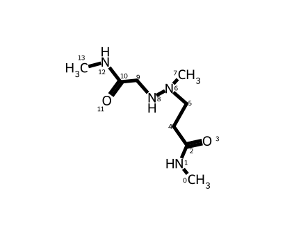 CNC(=O)CCN(C)NCC(=O)NC